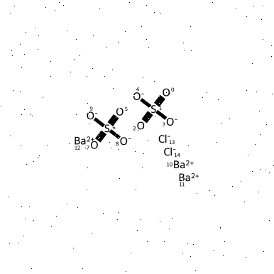 O=S(=O)([O-])[O-].O=S(=O)([O-])[O-].[Ba+2].[Ba+2].[Ba+2].[Cl-].[Cl-]